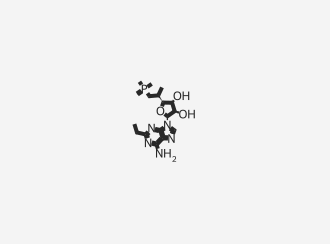 C=P(C)(C)CC(C)[C@H]1O[C@@H](n2cnc3c(N)nc(CC)nc32)[C@H](O)[C@@H]1O